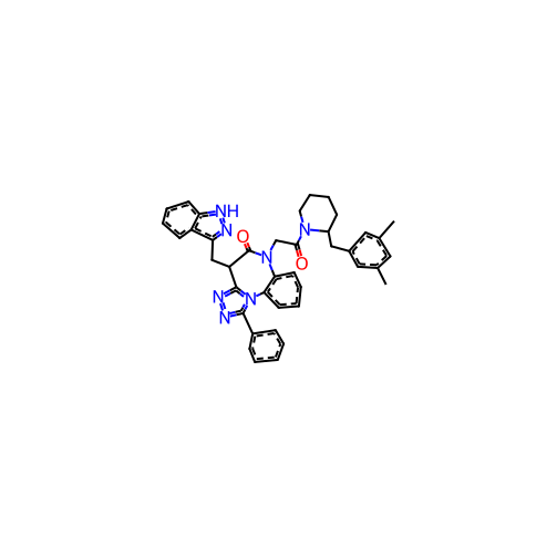 Cc1cc(C)cc(CC2CCCCN2C(=O)CN2C(=O)C(Cc3n[nH]c4ccccc34)c3nnc(-c4ccccc4)n3-c3ccccc32)c1